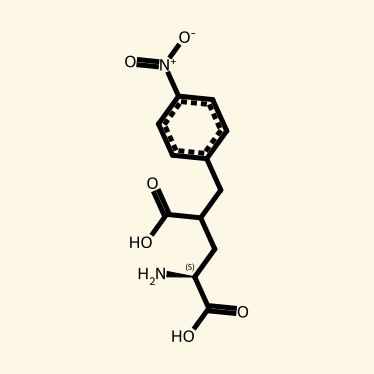 N[C@@H](CC(Cc1ccc([N+](=O)[O-])cc1)C(=O)O)C(=O)O